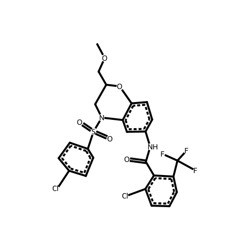 COCC1CN(S(=O)(=O)c2ccc(Cl)cc2)c2cc(NC(=O)c3c(Cl)cccc3C(F)(F)F)ccc2O1